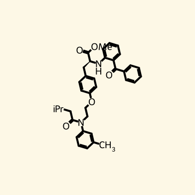 COC(=O)[C@H](Cc1ccc(OCCN(C(=O)CC(C)C)c2cccc(C)c2)cc1)Nc1ccccc1C(=O)c1ccccc1